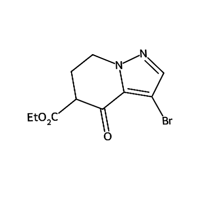 CCOC(=O)C1CCn2ncc(Br)c2C1=O